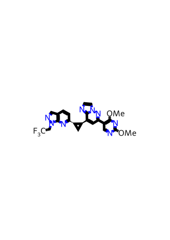 COc1ncc(-c2cc([C@H]3C[C@@H]3c3ccc4cnn(CC(F)(F)F)c4n3)c3nccn3n2)c(OC)n1